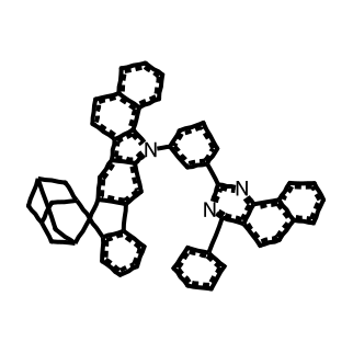 c1ccc(-c2nc(-c3cccc(-n4c5cc6c(cc5c5ccc7ccccc7c54)C4(c5ccccc5-6)C5CC6CC(C5)CC4C6)c3)nc3c2ccc2ccccc23)cc1